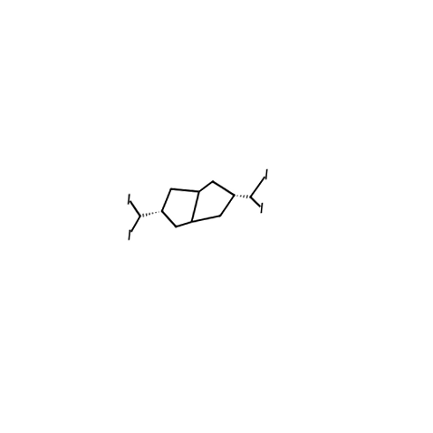 IC(I)[C@H]1CC2C[C@@H](C(I)I)CC2C1